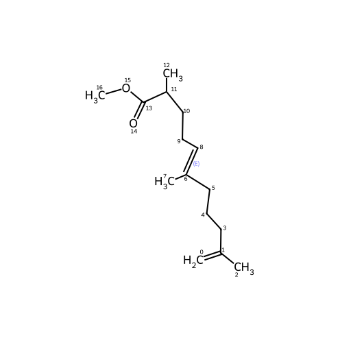 C=C(C)CCC/C(C)=C/CCC(C)C(=O)OC